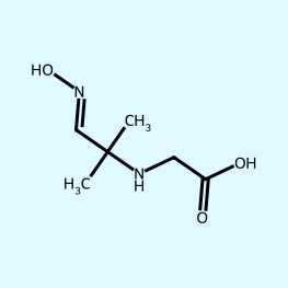 CC(C)(/C=N/O)NCC(=O)O